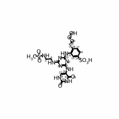 CS(=O)(=O)NCCNc1nc(Nc2cc(S(=O)(=O)O)ccc2SOOO)nc(Nc2c[nH]c(=O)[nH]c2=O)n1